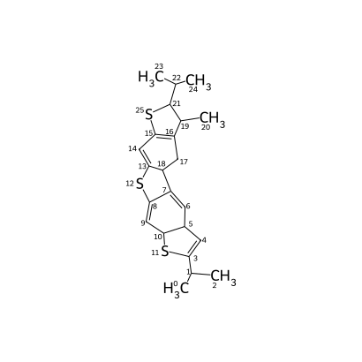 CC(C)C1=CC2C=C3C(=CC2S1)SC1=CC2=C(CC13)C(C)C(C(C)C)S2